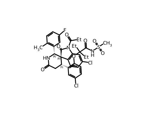 CCC(=O)N1C(=O)[C@]2(c3ccc(Cl)cc31)[C@@H](c1cc(F)ccc1C)NC(=O)C[C@H]2c1cc(Cl)ccc1OC(CC)(CC)C(=O)NS(C)(=O)=O